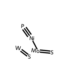 [P]#[Ni][Mo]=[S].[S]=[W]